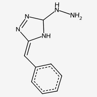 NNC1N=NC(=Cc2ccccc2)N1